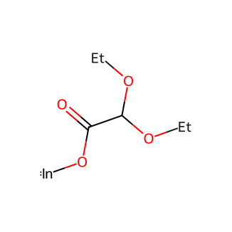 CCOC(OCC)C(=O)[O][In]